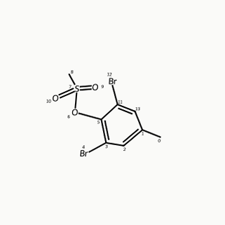 Cc1cc(Br)c(OS(C)(=O)=O)c(Br)c1